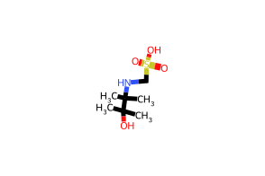 CC(C)(O)C(C)(C)NCS(=O)(=O)O